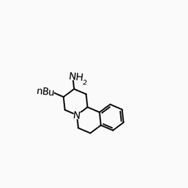 CCCCC1CN2CCc3ccccc3C2CC1N